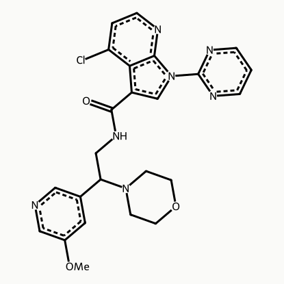 COc1cncc(C(CNC(=O)c2cn(-c3ncccn3)c3nccc(Cl)c23)N2CCOCC2)c1